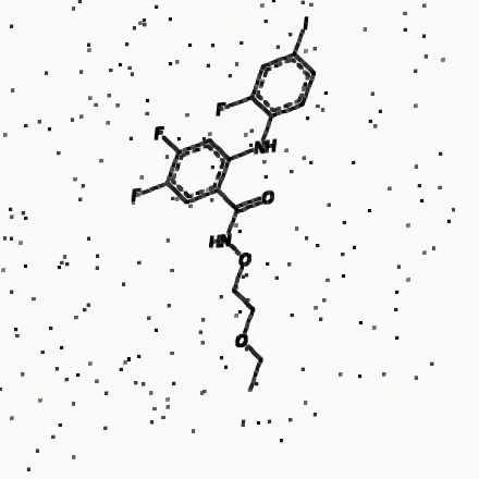 CCOCCONC(=O)c1cc(F)c(F)cc1Nc1ccc(I)cc1F